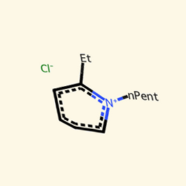 CCCCC[n+]1ccccc1CC.[Cl-]